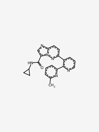 Cc1cccc(-c2ncccc2-c2ccc3ncc(C(=O)NC4CC4)n3n2)n1